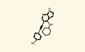 N#Cc1ccc(C#Cc2cnc3[nH]ccc3c2NC2CCCCC2)cc1